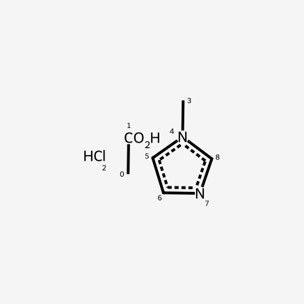 CC(=O)O.Cl.Cn1ccnc1